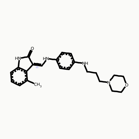 Cc1cccc2c1/C(=C/Nc1ccc(NCCCN3CCOCC3)cc1)C(=O)N2